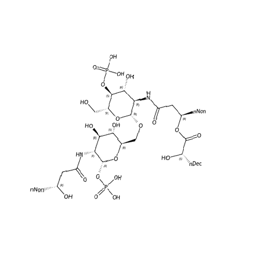 CCCCCCCCCC[C@H](O)C(=O)O[C@H](CCCCCCCCC)CC(=O)N[C@H]1[C@H](OC[C@H]2O[C@H](OP(=O)(O)O)[C@H](NC(=O)C[C@H](O)CCCCCCCCC)[C@@H](O)[C@@H]2O)O[C@H](CO)[C@@H](OP(=O)(O)O)[C@@H]1O